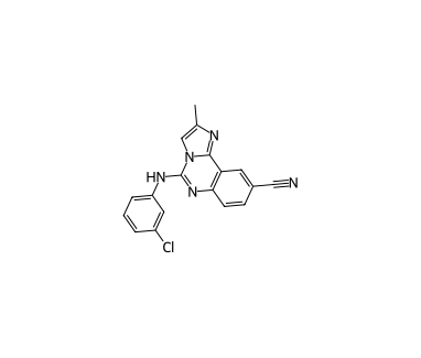 Cc1cn2c(Nc3cccc(Cl)c3)nc3ccc(C#N)cc3c2n1